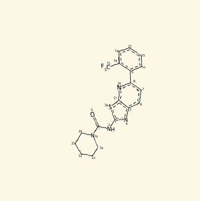 O=C(Nc1nc2ccc(-c3ccccc3C(F)(F)F)nc2s1)N1CCCCC1